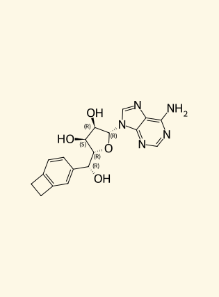 Nc1ncnc2c1ncn2[C@@H]1O[C@H]([C@H](O)c2ccc3c(c2)CC3)[C@@H](O)[C@H]1O